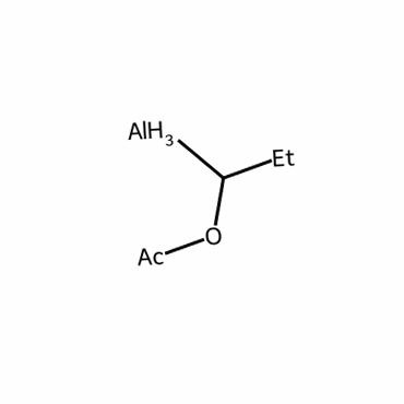 CCC(C)OC(C)=O.[AlH3]